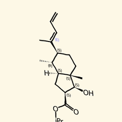 C=C/C=C(\C)[C@H]1CC[C@]2(C)[C@@H](O)[C@@H](C(=O)OC(C)C)C[C@H]2[C@@H]1C